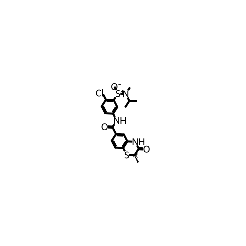 CC(C)N(C)[S+]([O-])c1cc(NC(=O)c2ccc3c(c2)NC(=O)[C@@H](C)S3)ccc1Cl